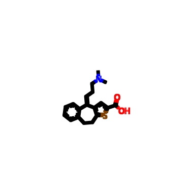 CN(C)CC/C=C1/c2ccccc2CCc2sc(C(=O)O)cc21